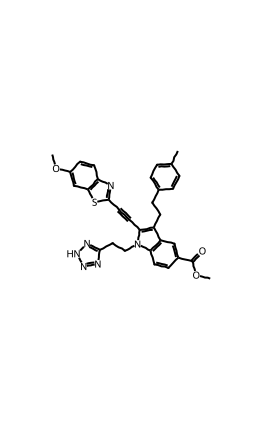 COC(=O)c1ccc2c(c1)c(CCc1ccc(C)cc1)c(C#Cc1nc3ccc(OC)cc3s1)n2CCc1nn[nH]n1